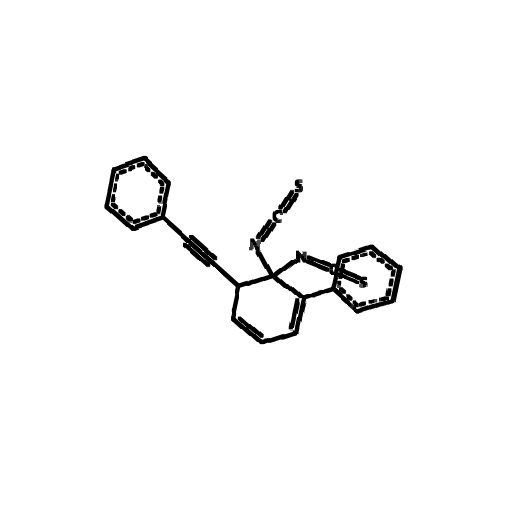 S=C=NC1(N=C=S)C(c2ccccc2)=CC=CC1C#Cc1ccccc1